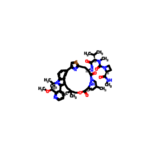 CCn1c(-c2cccnc2[C@H](C)OC)c2c3cc(ccc31)-c1csc(n1)C[C@H](NC(=O)[C@H](C(C)C)N(C)C(=O)N1CC[C@H]1C(=O)NC)C(=O)N1CC(C)C[C@H](N1)C(=O)OCC(C)(C)C2